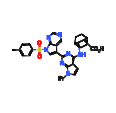 Cc1ccc(S(=O)(=O)n2cc(-c3nc(NC4C5CCC(CC5)C4C(=O)O)c4ccn(C(C)C)c4n3)c3cncnc32)cc1